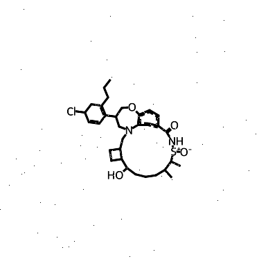 CCCC1=C(C2COc3ccc4cc3N(C2)CC2CCC2C(O)CCCC(C)C(C)[S+]([O-])NC4=O)C=CC(Cl)C1